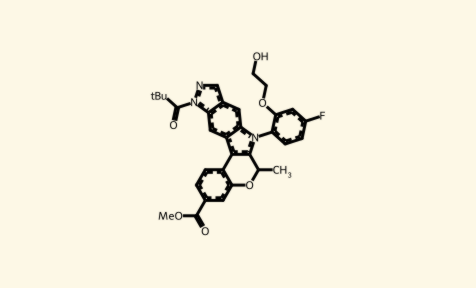 COC(=O)c1ccc2c(c1)OC(C)c1c-2c2cc3c(cnn3C(=O)C(C)(C)C)cc2n1-c1ccc(F)cc1OCCO